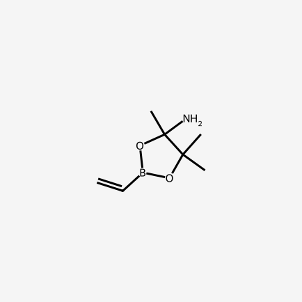 C=CB1OC(C)(C)C(C)(N)O1